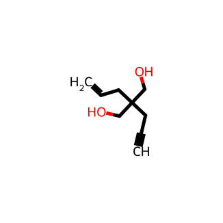 C#CCC(CO)(CO)CC=C